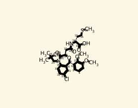 COc1cccc([C@H]2O[C@H](CC(=O)N[C@H](CCSC)C(=O)O)C(=O)N(CC(C)(C)C)c3ccc(Cl)cc32)c1OC